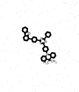 CC1(C)c2ccccc2N(c2ccc(-c3nc(-c4ccccc4)nc(-c4ccc(-c5cccc6c5oc5ccccc56)cc4)n3)cc2)c2ccccc21